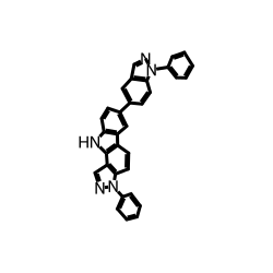 c1ccc(-n2ncc3cc(-c4ccc5[nH]c6c(ccc7c6cnn7-c6ccccc6)c5c4)ccc32)cc1